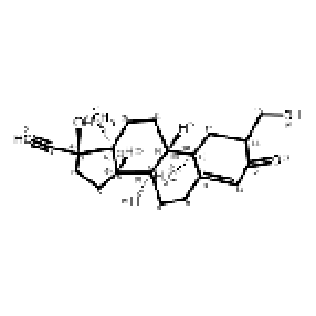 C#C[C@@]1(O)CC[C@H]2[C@@H]3CCC4=CC(=O)C(CO)C[C@]4(C)[C@H]3CC[C@@]21C